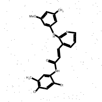 CCc1cc(Cl)c(C)cc1NC(=O)/C=C/c1cccnc1Nc1cc(C)cc(OC)c1